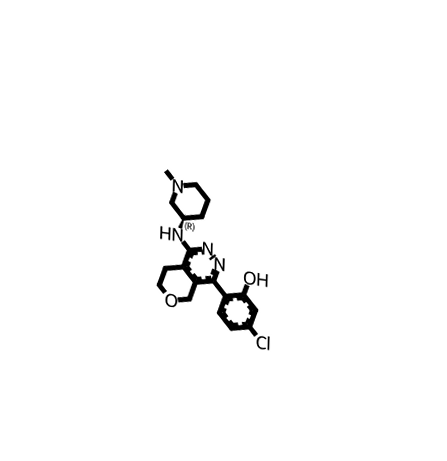 CN1CCC[C@@H](Nc2nnc(-c3ccc(Cl)cc3O)c3c2CCOC3)C1